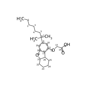 CCCCCCC(C)(C)c1cc(OCC(=O)O)c2c(c1)OC1CCCCC21